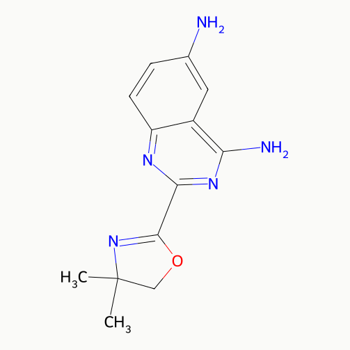 CC1(C)COC(c2nc(N)c3cc(N)ccc3n2)=N1